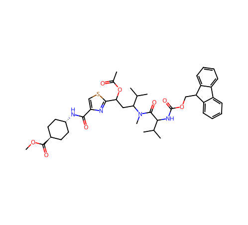 COC(=O)[C@H]1CC[C@H](NC(=O)c2csc(C(CC(C(C)C)N(C)C(=O)C(NC(=O)OCC3c4ccccc4-c4ccccc43)C(C)C)OC(C)=O)n2)CC1